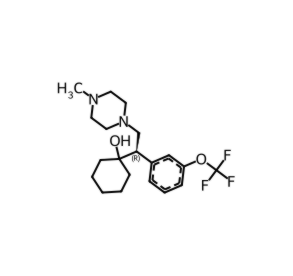 CN1CCN(C[C@@H](c2cccc(OC(F)(F)F)c2)C2(O)CCCCC2)CC1